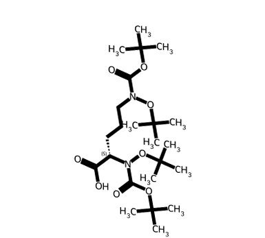 CC(C)(C)OC(=O)N(CCC[C@@H](C(=O)O)N(OC(C)(C)C)C(=O)OC(C)(C)C)OC(C)(C)C